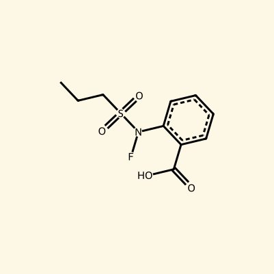 CCCS(=O)(=O)N(F)c1ccccc1C(=O)O